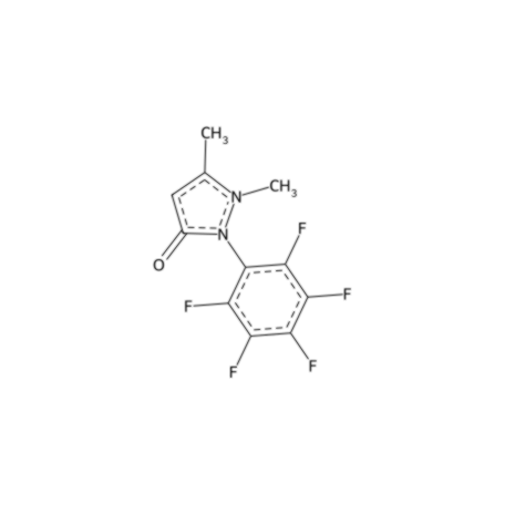 Cc1cc(=O)n(-c2c(F)c(F)c(F)c(F)c2F)n1C